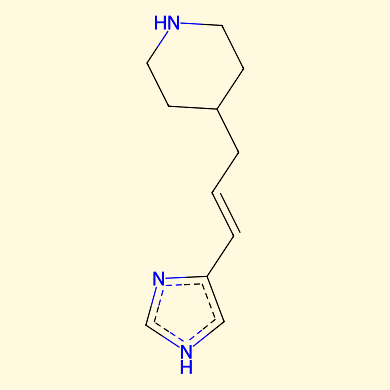 C(=Cc1c[nH]cn1)CC1CCNCC1